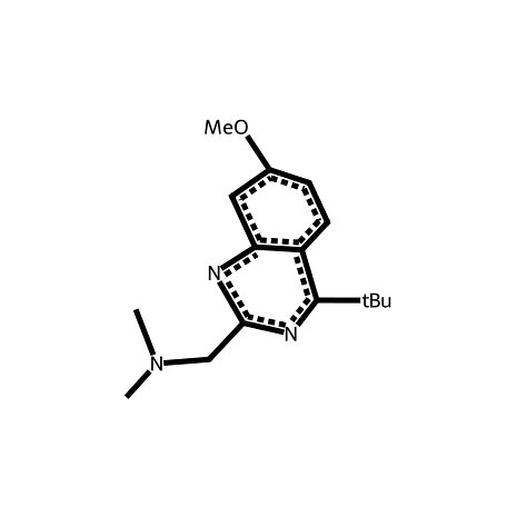 COc1ccc2c(C(C)(C)C)nc(CN(C)C)nc2c1